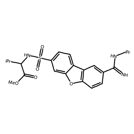 COC(=O)C(NS(=O)(=O)c1ccc2c(c1)oc1ccc(C(=N)NC(C)C)cc12)C(C)C